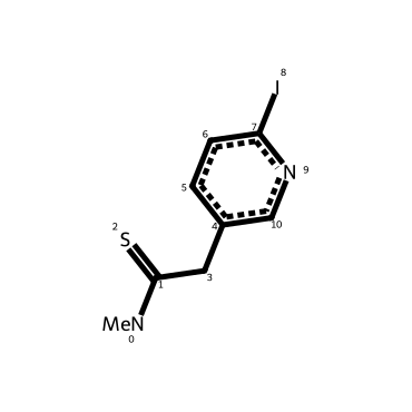 CNC(=S)Cc1ccc(I)nc1